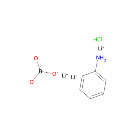 Cl.Nc1ccccc1.[Li+].[Li+].[Li+].[O-]B([O-])[O-]